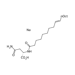 CCCCCCCCC=CCCCCCCCC(=O)N[C@@H](CC(N)=O)C(=O)O.[Na]